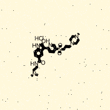 CN(C)CCNC(=O)c1ccc2[nH]c(O)c(-c3ccc(S(=O)(=O)CC=CN4CCN(C)CC4)cn3)c2c1.Cl